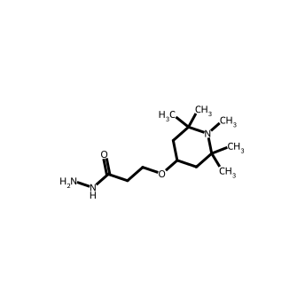 CN1C(C)(C)CC(OCCC(=O)NN)CC1(C)C